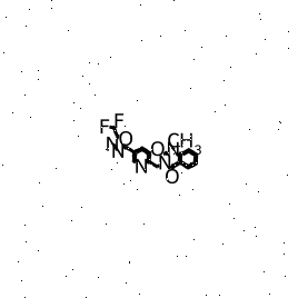 Cn1c(=O)n(Cc2ccc(-c3nnc(C(F)F)o3)cn2)c(=O)c2ccccc21